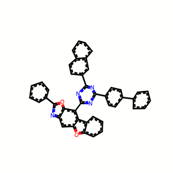 c1ccc(-c2ccc(-c3nc(-c4ccc5ccccc5c4)nc(-c4c5oc(-c6ccccc6)nc5cc5oc6ccccc6c45)n3)cc2)cc1